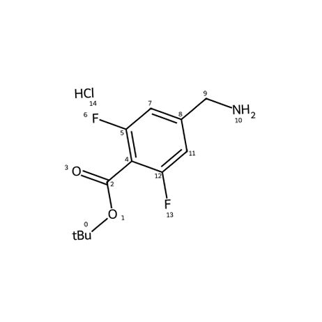 CC(C)(C)OC(=O)c1c(F)cc(CN)cc1F.Cl